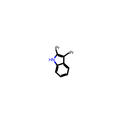 CC(C)c1[nH]c2ccccc2c1C(C)C